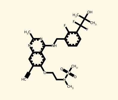 C#Cc1cc2nc(C)nc(NCc3cccc(C(F)(F)C(C)(C)O)c3F)c2cc1OCCN(C)S(C)(=O)=O